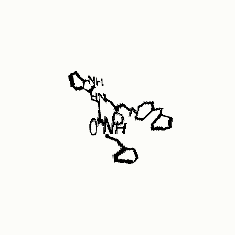 O=C(CN1CCC(Cc2ccccc2)CC1)NC(Cc1c[nH]c2ccccc12)C(=O)NCCc1ccccc1